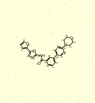 O=C(Nc1nnc(-c2ccco2)o1)c1cccc(-c2cnc(N3CCOCC3)nc2)c1